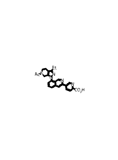 CCc1nn(-c2cccc3cc(-c4ccc(C(=O)O)nc4)ncc23)c2c1CCN(C(C)=O)C2